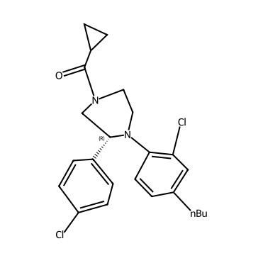 CCCCc1ccc(N2CCN(C(=O)C3CC3)C[C@H]2c2ccc(Cl)cc2)c(Cl)c1